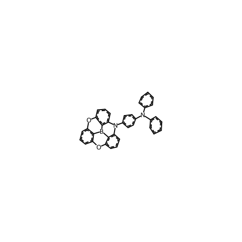 c1ccc(N(c2ccccc2)c2ccc(N3c4cccc5c4B4c6c(cccc6Oc6cccc3c64)O5)cc2)cc1